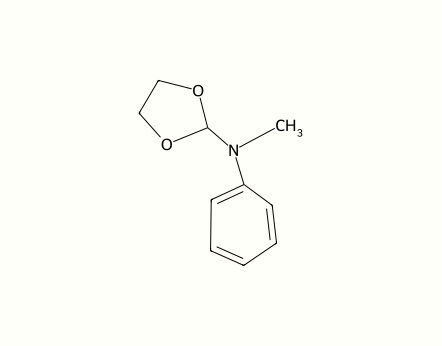 CN(c1ccccc1)C1OCCO1